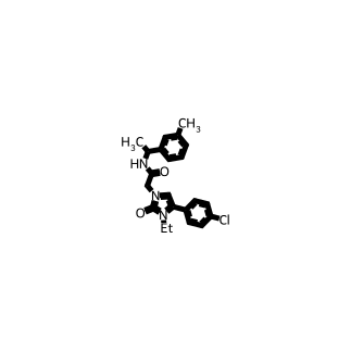 CCn1c(-c2ccc(Cl)cc2)cn(CC(=O)NC(C)c2cccc(C)c2)c1=O